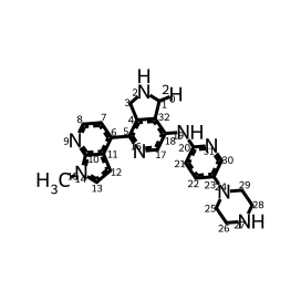 [2H]C1NCc2c(-c3ccnc4c3ccn4C)ncc(Nc3ccc(N4CCNCC4)cn3)c21